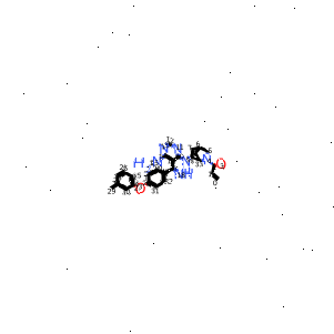 C=CC(=O)N1CC2CC(Nc3ncnc(N)c3C(=N)c3ccc(Oc4cccc(C)c4)cc3)C1C2